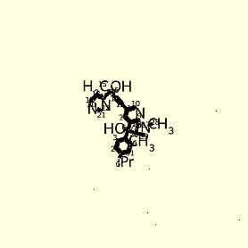 CC(C)c1ccc([C@](O)(c2cncc(C#C[C@@](C)(O)c3ccncn3)c2)C2(C)CN(C)C2)cc1